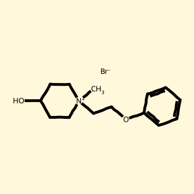 C[N+]1(CCOc2ccccc2)CCC(O)CC1.[Br-]